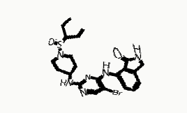 CCC(CC)[S+]([O-])N1CCC(Nc2ncc(Br)c(Nc3cccc4c3C(=O)NC4)n2)CC1